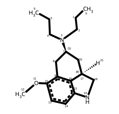 CCCN(CCC)[C@@H]1Cc2c(OC)ccc3c2[C@H](CN3)C1